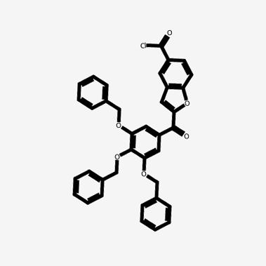 O=C(Cl)c1ccc2oc(C(=O)c3cc(OCc4ccccc4)c(OCc4ccccc4)c(OCc4ccccc4)c3)cc2c1